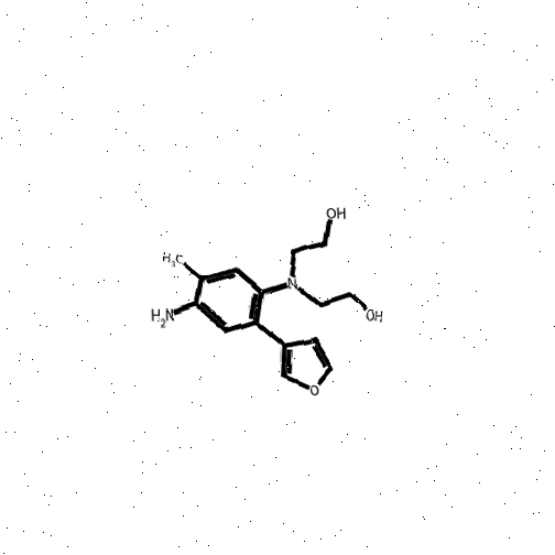 Cc1cc(N(CCO)CCO)c(-c2ccoc2)cc1N